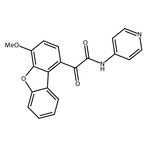 COc1ccc(C(=O)C(=O)Nc2ccncc2)c2c1oc1ccccc12